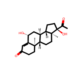 CC(=O)[C@@]1(O)CC[C@H]2[C@@H]3C[C@@H](O)C4=CC(=O)CC[C@]4(C)[C@H]3CC[C@@]21C